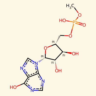 COP(=O)(O)OC[C@H]1O[C@@H](n2cnc3c(O)ncnc32)[C@@H](O)[C@@H]1O